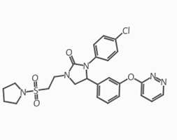 O=C1N(CCS(=O)(=O)N2CCCC2)CC(c2cccc(Oc3cccnn3)c2)N1c1ccc(Cl)cc1